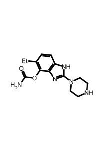 CCc1ccc2[nH]c(N3CCNCC3)nc2c1OC(N)=O